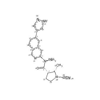 C[C@H]1[C@@H](C(=O)N(N)c2cc3cc(-c4cn[nH]c4)ccc3cn2)CCN1C#N